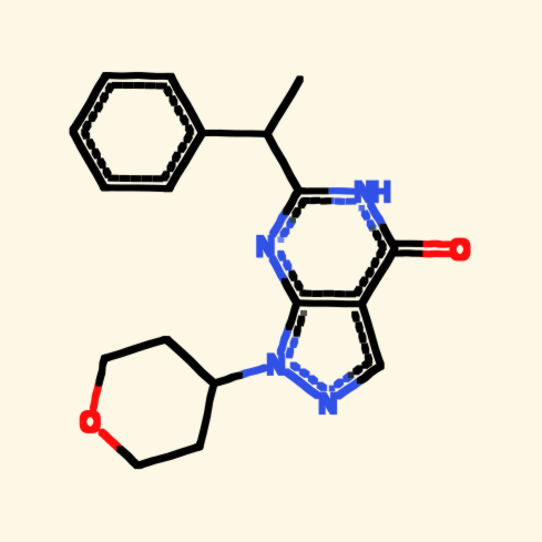 CC(c1ccccc1)c1nc2c(cnn2C2CCOCC2)c(=O)[nH]1